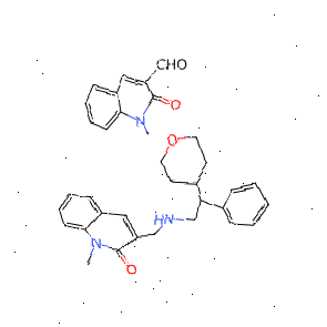 Cn1c(=O)c(C=O)cc2ccccc21.Cn1c(=O)c(CNCC(c2ccccc2)C2CCOCC2)cc2ccccc21